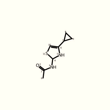 CC(=O)NC1NC(C2CC2)=CS1